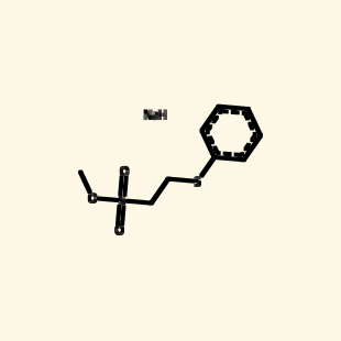 COS(=O)(=O)CCSc1ccccc1.[NaH]